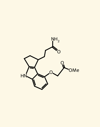 COC(=O)COc1cccc2[nH]c3c(c12)C(CCC(N)=O)CC3